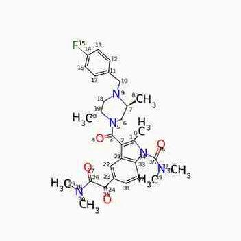 Cc1c(C(=O)N2C[C@H](C)N(Cc3ccc(F)cc3)C[C@H]2C)c2cc(C(=O)C(=O)N(C)C)ccc2n1C(=O)N(C)C